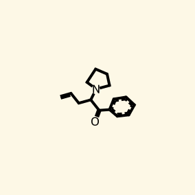 C=CCC(C(=O)c1ccccc1)N1CCCC1